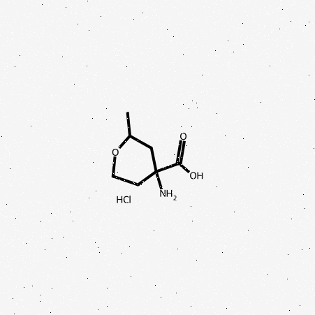 CC1CC(N)(C(=O)O)CCO1.Cl